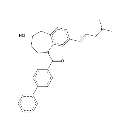 CN(C)C/C=C/c1ccc2c(c1)N(C(=O)c1ccc(-c3ccccc3)cc1)CCCC2.Cl